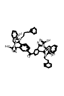 O=C(c1ccc(-c2nnc(S)n2CCc2ccccc2)c(-c2nnc(S)n2CCc2ccccc2)c1)c1ccc(-c2nnc(S)n2CCc2ccccc2)c(-c2nnc(S)n2CCc2ccccc2)c1